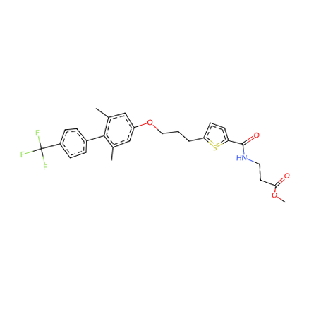 COC(=O)CCNC(=O)c1ccc(CCCOc2cc(C)c(-c3ccc(C(F)(F)F)cc3)c(C)c2)s1